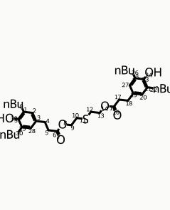 CCCCc1cc(CCC(=O)OCCSCCOC(=O)CCc2cc(CCCC)c(O)c(CCCC)c2)cc(CCCC)c1O